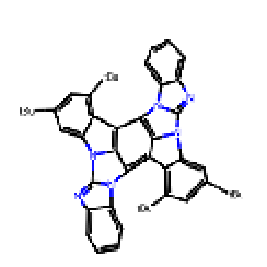 CC(C)(C)c1cc(C(C)(C)C)c2c3c4c5c(c6c(C(C)(C)C)cc(C(C)(C)C)cc6n5c5nc6ccccc6n45)c4c3n(c2c1)c1nc2ccccc2n41